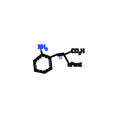 CCCCC/C(=C\c1ccccc1N)C(=O)O